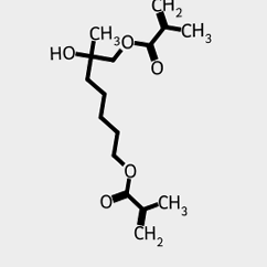 C=C(C)C(=O)OCCCCCC(C)(O)COC(=O)C(=C)C